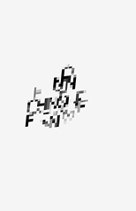 COc1ncc(C(=O)Nc2c(-c3cc(F)ccc3F)ccnc2[C@@H]2CCC(F)(F)C[C@H]2C)cn1